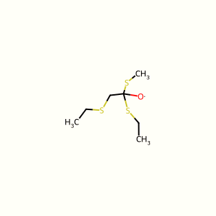 CCSCC([O])(SC)SCC